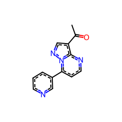 CC(=O)c1cnn2c(-c3cccnc3)ccnc12